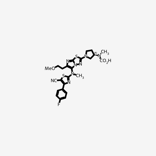 COCCc1nc2sc(N3CC[C@@H](N(C)C(=O)O)C3)nn2c1N(C)c1nc(-c2ccc(F)cc2)c(C#N)s1